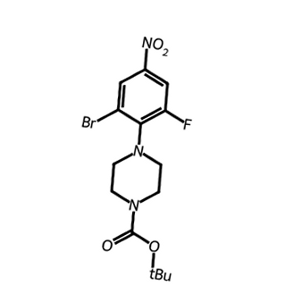 CC(C)(C)OC(=O)N1CCN(c2c(F)cc([N+](=O)[O-])cc2Br)CC1